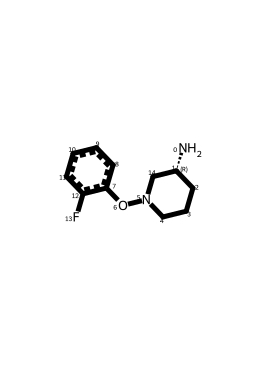 N[C@@H]1CCCN(Oc2ccccc2F)C1